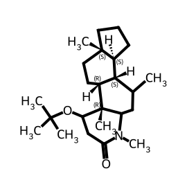 CC1CC2N(C)C(=O)CC(OC(C)(C)C)[C@]2(C)[C@@H]2CC[C@]3(C)CCC[C@H]3[C@H]12